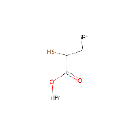 CCCOC(=O)C(S)CC(C)C